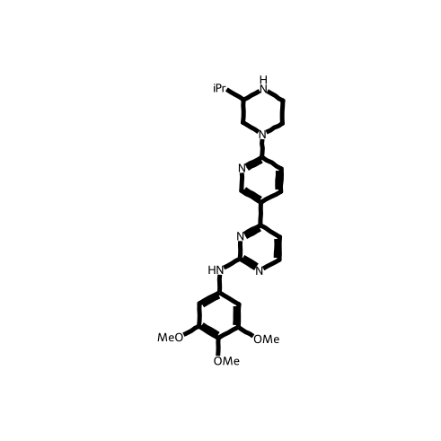 COc1cc(Nc2nccc(-c3ccc(N4CCNC(C(C)C)C4)nc3)n2)cc(OC)c1OC